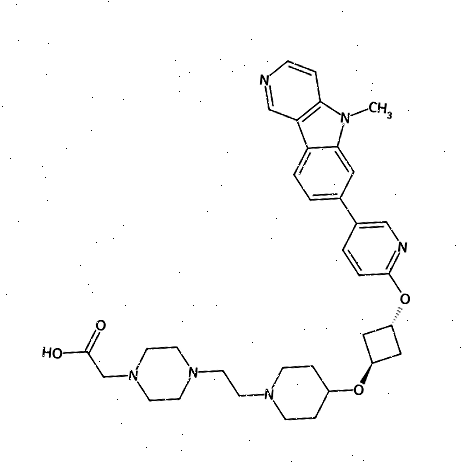 Cn1c2ccncc2c2ccc(-c3ccc(O[C@H]4C[C@H](OC5CCN(CCN6CCN(CC(=O)O)CC6)CC5)C4)nc3)cc21